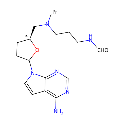 CC(C)N(CCCNC=O)C[C@@H]1CCC(n2ccc3c(N)ncnc32)O1